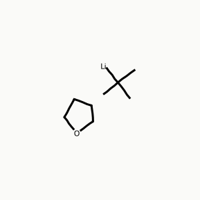 C1CCOC1.[Li][C](C)(C)C